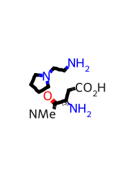 CNC(=O)[C@@H](N)CC(=O)O.NCCN1CCCC1